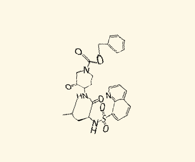 CC(C)C[C@H](NS(=O)(=O)c1cccc2cccnc12)C(=O)NC1CCN(C(=O)OCc2ccccc2)CC1=O